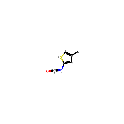 Cc1csc(N=C=O)c1